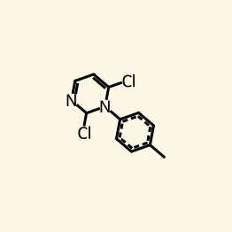 Cc1ccc(N2C(Cl)=CC=NC2Cl)cc1